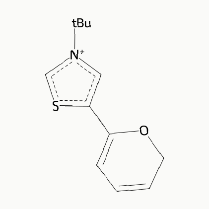 CC(C)(C)[n+]1csc(C2=CC=CCO2)c1